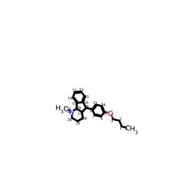 CCCCOc1ccc(C2c3ccccc3C3C2CCCN3C)cc1